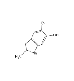 CCc1cc2c(cc1O)NC(C)C2